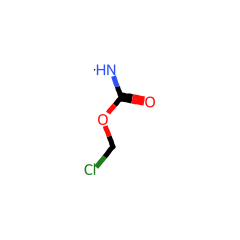 [NH]C(=O)OCCl